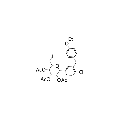 CCOc1ccc(Cc2cc(C3OC(CI)C(OC(C)=O)C(OC(C)=O)C3OC(C)=O)ccc2Cl)cc1